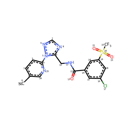 N#Cc1ccc(-n2ncnc2CNC(=O)c2cc(Cl)cc(S(=O)(=O)C(F)(F)F)c2)nc1